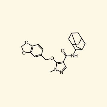 Cn1ncc(C(=O)NC2C3CC4CC(C3)CC2C4)c1OCc1ccc2c(c1)OCO2